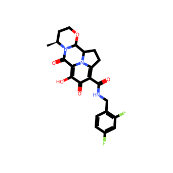 C[C@H]1CCOC2C3CCc4c(C(=O)NCc5ccc(F)cc5F)c(=O)c(O)c(n43)C(=O)N21